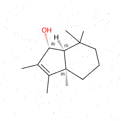 CC1=C(C)[C@]2(C)CCCC(C)(C)[C@@H]2[C@H]1O